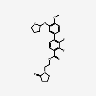 COc1ccc(-c2ccc(C(=O)NCCN3CCCC3=O)c(F)c2F)cc1OC1CCCO1